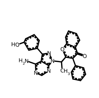 CC(c1oc2ccccc2c(=O)c1-c1ccccc1)n1nc(-c2cccc(O)c2)c2c(N)ncnc21